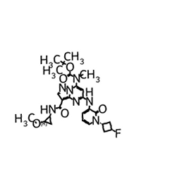 CO[C@@H]1CC1NC(=O)c1cnn2c(N(C)C(=O)OC(C)(C)C)cc(Nc3cccn([C@H]4C[C@H](F)C4)c3=O)nc12